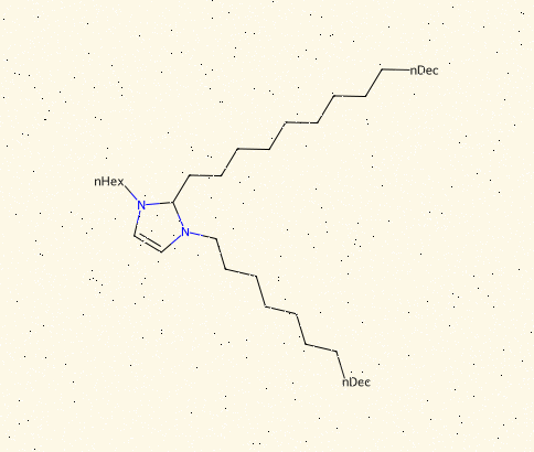 CCCCCCCCCCCCCCCCCCCC1N(CCCCCC)C=CN1CCCCCCCCCCCCCCCCC